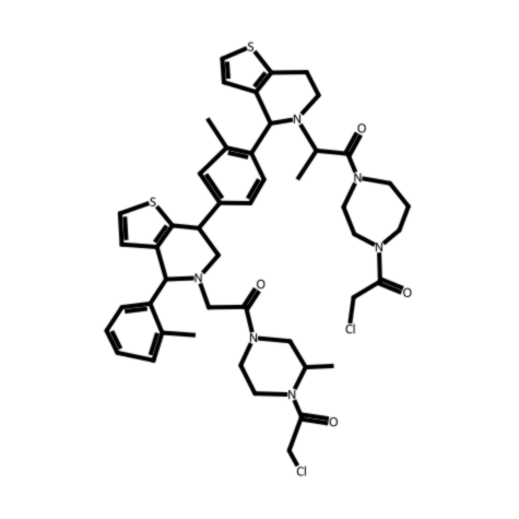 Cc1ccccc1C1c2ccsc2C(c2ccc(C3c4ccsc4CCN3C(C)C(=O)N3CCCN(C(=O)CCl)CC3)c(C)c2)CN1CC(=O)N1CCN(C(=O)CCl)C(C)C1